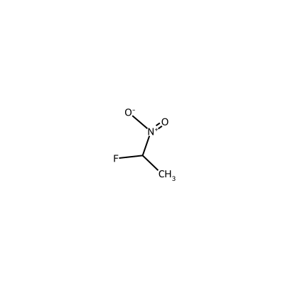 CC(F)[N+](=O)[O-]